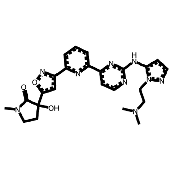 CN(C)CCn1nccc1Nc1nccc(-c2cccc(-c3cc(C4(O)CCN(C)C4=O)on3)n2)n1